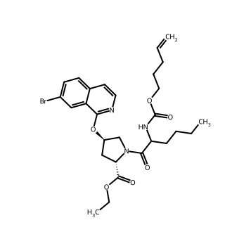 C=CCCCOC(=O)NC(CCCC)C(=O)N1C[C@H](Oc2nccc3ccc(Br)cc23)C[C@H]1C(=O)OCC